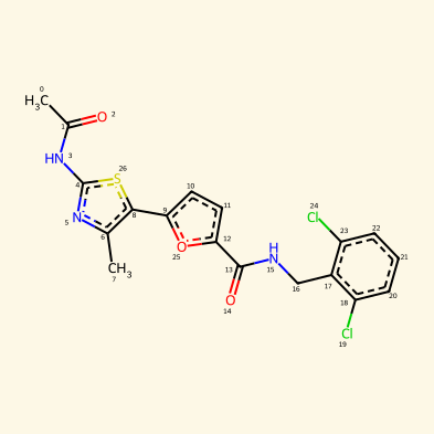 CC(=O)Nc1nc(C)c(-c2ccc(C(=O)NCc3c(Cl)cccc3Cl)o2)s1